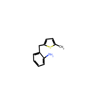 Cc1ccc(Cc2ccccc2N)s1